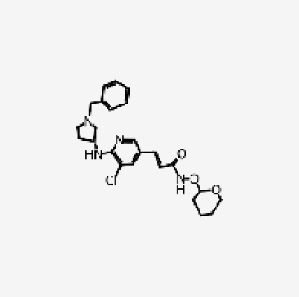 O=C(C=Cc1cnc(N[C@H]2CCN(Cc3ccccc3)C2)c(Cl)c1)NOC1CCCCO1